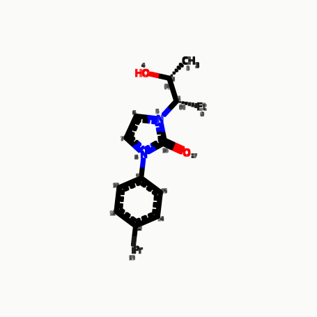 CC[C@@H]([C@@H](C)O)n1ccn(-c2ccc(C(C)C)cc2)c1=O